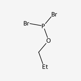 CCCOP(Br)Br